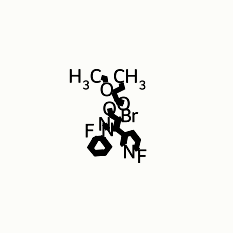 CCOC(CC)C(=O)Oc1nn(-c2ccccc2F)c(-c2ccc(F)nc2)c1Br